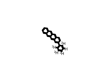 [2H]c1c([2H])c([2H])c(-c2ccc3cc4cc5ccccc5cc4cc3c2)c([2H])c1[2H]